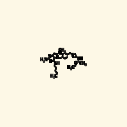 CCCCCNc1nc(N)nc2ccn(Cc3ccc(CN4CC(NC(C)OCC)C4)cc3OC)c12